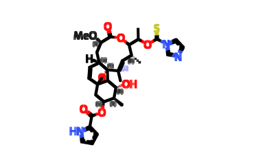 CO[C@@H]1C[C@H]2C=CC34CO[C@]2(/C(C)=C/[C@@H](C)C(C(C)OC(=S)n2ccnc2)OC1=O)C3[C@H](O)[C@@H](C)[C@@H](OC(=O)c1ccc[nH]1)C4